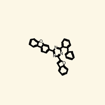 c1ccc(-c2ccccc2-c2nc(-c3ccc4c(c3)oc3ccccc34)nc(-c3cc4ccccc4o3)n2)cc1